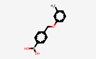 Cc1cccc(OCc2ccc(B(O)O)cc2)c1